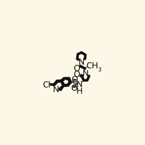 C[C@@H](C(=O)N1CCCCC1)N1CC[C@H](NS(=O)(=O)c2ccc3cc(Cl)ncc3c2)C1=O